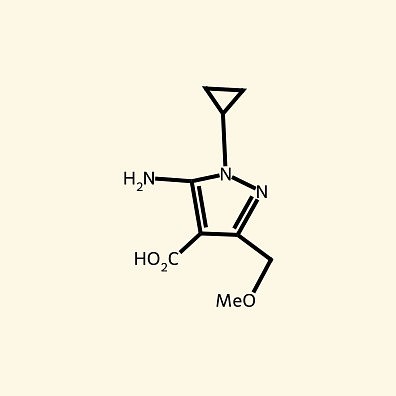 COCc1nn(C2CC2)c(N)c1C(=O)O